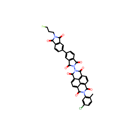 Cc1ccc(Cl)cc1N1C(=O)c2ccc3c4c(ccc(c24)C1=O)C(=O)N(N1C(=O)c2ccc(-c4ccc5c(c4)C(=O)N(CCCF)C5=O)cc2C1=O)C3=O